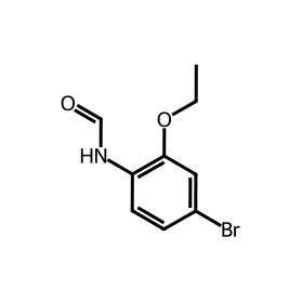 CCOc1cc(Br)ccc1NC=O